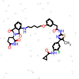 Cc1sc(NC(=O)Cc2cccc(OCCCCCNc3cccc4c3C(=O)N(C3CCC(=O)NC3=O)C4=O)c2)nc1-c1ccc(NC(=O)C2CC2)c(F)c1